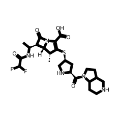 CC(NC(=O)C(F)F)[C@H]1C(=O)N2C(C(=O)O)=C(S[C@@H]3CN[C@H](C(=O)N4CCC5CNCCC54)C3)[C@H](C)[C@H]12